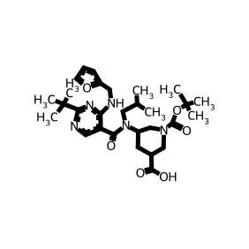 CC(C)CN(C(=O)c1cnc(C(C)(C)C)nc1NCc1ccco1)C1CC(C(=O)O)CN(C(=O)OC(C)(C)C)C1